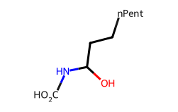 CCCCCCCC(O)NC(=O)O